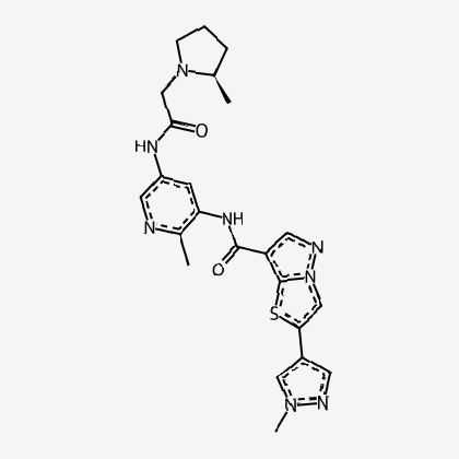 Cc1ncc(NC(=O)CN2CCC[C@H]2C)cc1NC(=O)c1cnn2cc(-c3cnn(C)c3)sc12